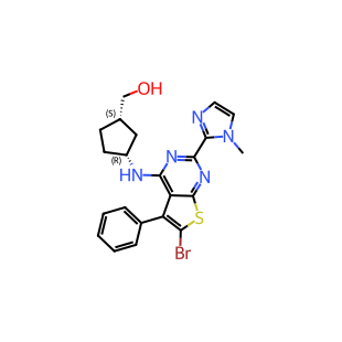 Cn1ccnc1-c1nc(N[C@@H]2CC[C@H](CO)C2)c2c(-c3ccccc3)c(Br)sc2n1